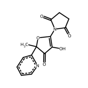 CC1(c2ccccn2)OC(N2C(=O)CCC2=O)=C(O)C1=O